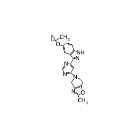 Cc1nc2c(o1)CCN(c1cc(-c3n[nH]c4ccc(OC5(C)CC5)cc34)ncn1)C2